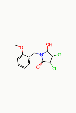 COc1ccccc1CN1C(=O)C(Cl)C(Cl)C1O